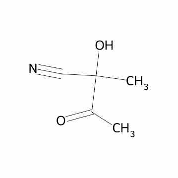 CC(=O)C(C)(O)C#N